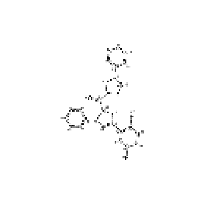 O=C(C1CNC(c2ccccc2)C1)N1CC(c2cc(F)ccc2F)=CC1c1ccccc1